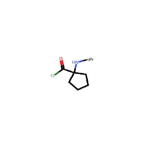 CCCNC1(C(=O)Cl)CCCC1